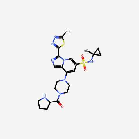 N#CC1(NS(=O)(=O)c2cc(N3CCN(C(=O)[C@H]4CCCN4)CC3)c3cnc(-c4nnc(C(F)(F)F)s4)n3c2)CC1